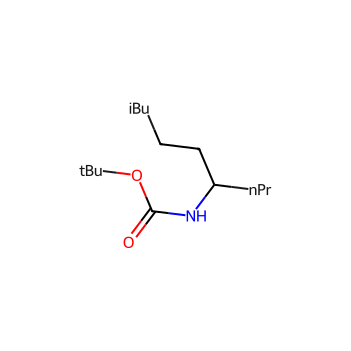 CCCC(CCC(C)CC)NC(=O)OC(C)(C)C